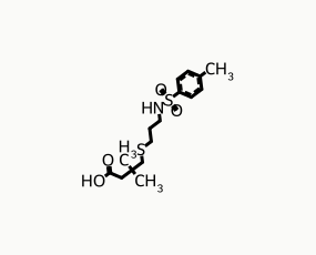 Cc1ccc(S(=O)(=O)NCCCSCC(C)(C)CC(=O)O)cc1